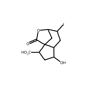 O=C(O)C1CC(O)C2CC(I)C3CC12C(=O)O3